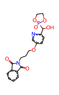 O=C1c2ccccc2C(=O)N1CCCOc1ccc(C(O)P2(=O)OCCO2)nc1